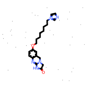 O=C1CN2Cc3cc(OCCCCCCCCn4ccnc4)ccc3N=C2N1